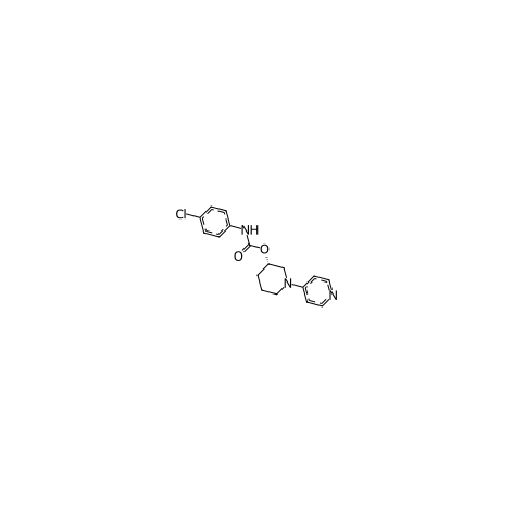 O=C(Nc1ccc(Cl)cc1)O[C@H]1CCCN(c2ccncc2)C1